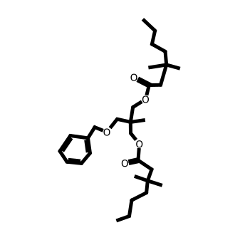 CCCCC(C)(C)CC(=O)OCC(C)(COCc1ccccc1)COC(=O)CC(C)(C)CCCC